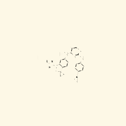 C=CS(=O)(=O)N1CC2(CC2)c2ccc(Nc3nc(Nc4ccc(C#N)cc4)ncc3F)cc21